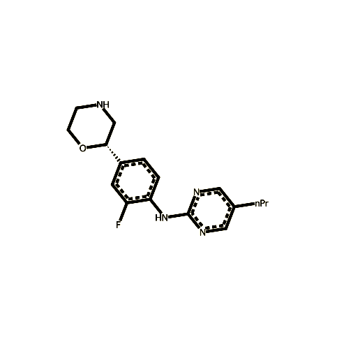 CCCc1cnc(Nc2ccc([C@H]3CNCCO3)cc2F)nc1